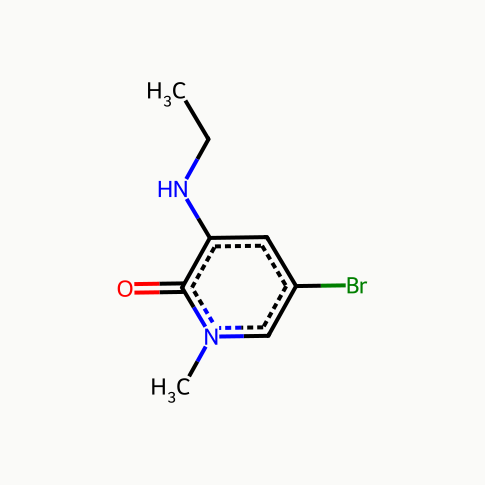 CCNc1cc(Br)cn(C)c1=O